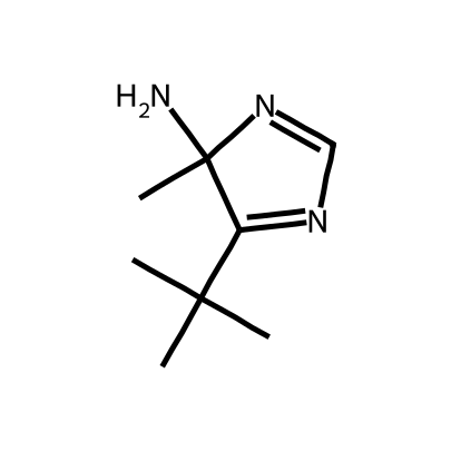 CC(C)(C)C1=NC=NC1(C)N